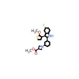 COC(=O)C1CN(c2cccc(-c3[nH]c4ccc(F)cc4c3-c3ccsc3OC)c2)C1